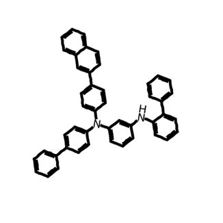 c1ccc(-c2ccc(N(c3ccc(-c4ccc5ccccc5c4)cc3)c3cccc(Nc4ccccc4-c4ccccc4)c3)cc2)cc1